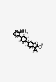 COC(=O)C1(c2ccc(-c3ccc(-c4nonc4N)cc3)cc2)CC1